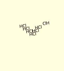 Cl.Cl.Cl.Cl.Cl.Cl.Cl